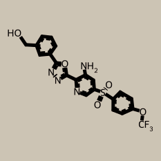 Nc1cc(S(=O)(=O)c2ccc(OC(F)(F)F)cc2)cnc1-c1nnc(-c2cccc(CO)c2)o1